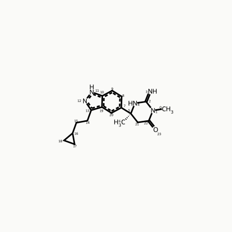 CN1C(=N)N[C@](C)(c2ccc3[nH]nc(CCC4CC4)c3c2)CC1=O